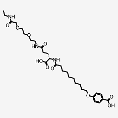 CCNC(=O)COCCOCCNC(=O)CC[C@H](NC(=O)CCCCCCCCCOc1ccc(C(=O)O)cc1)C(=O)O